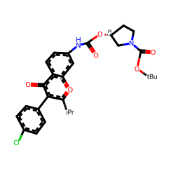 CC(C)c1oc2cc(NC(=O)O[C@@H]3CCN(C(=O)OC(C)(C)C)C3)ccc2c(=O)c1-c1ccc(Cl)cc1